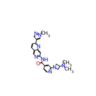 CN(C)C1CN(c2cc(C(=O)Nc3cc4nc(-c5cnn(C)c5)ccc4cn3)ccn2)C1